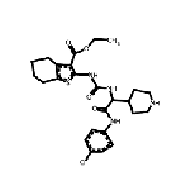 CCOC(=O)c1c(NC(=O)NC(C(=O)Nc2ccc(Cl)cc2)C2CCNCC2)sc2c1CCCC2